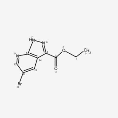 CCOC(=O)c1n[nH]c2ncc(Br)cc12